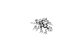 BC(C)(C)c1cc(-c2c(C(B)(C)C)cc(C(C)(C)O)cc2C(C)(C)O)cc(C(B)(C)C)c1